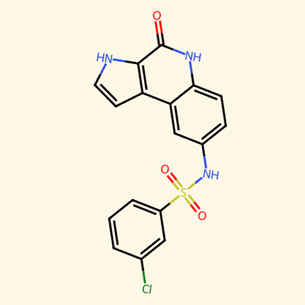 O=c1[nH]c2ccc(NS(=O)(=O)c3cccc(Cl)c3)cc2c2cc[nH]c12